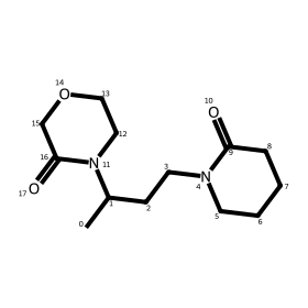 CC(CCN1CCCCC1=O)N1CCOCC1=O